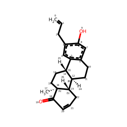 C=CCc1cc2c(cc1O)CC[C@@H]1[C@@H]2CC[C@]2(C)C(=O)C=CC[C@@H]12